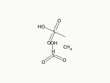 C.CS(=O)(=O)O.O=[SH](=O)O